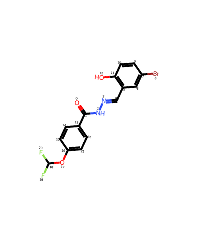 O=C(NN=Cc1cc(Br)ccc1O)c1ccc(OC(F)F)cc1